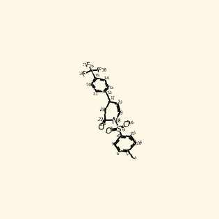 Cc1ccc(S(=O)(=O)N2C=CC(c3ccc(C(F)(F)F)cc3)CC2=O)cc1